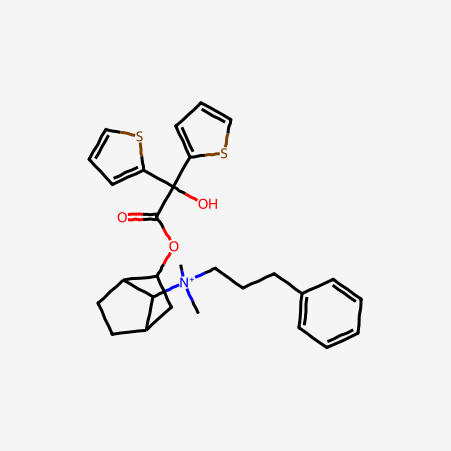 C[N+](C)(CCCc1ccccc1)C1C2CCC1C(OC(=O)C(O)(c1cccs1)c1cccs1)C2